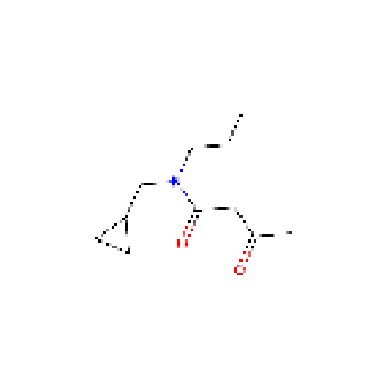 CCCN(CC1CC1)C(=O)CC(C)=O